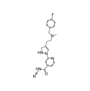 CN(CCC1=CN(c2cc(C(=O)NC#N)ccn2)NC1)Cc1ccc(F)cc1